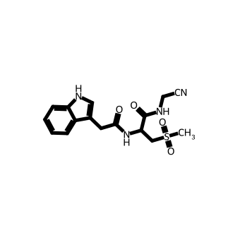 CS(=O)(=O)CC(NC(=O)Cc1c[nH]c2ccccc12)C(=O)NCC#N